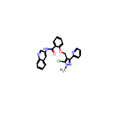 Cn1nc(-c2ccccn2)c(COc2ccccc2C(=O)Nc2cnc3ccccc3c2)c1Cl